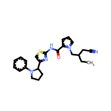 CCC(CC#N)Cn1cccc1C(=O)Nc1nc(C2CCCN2c2ccccc2)cs1